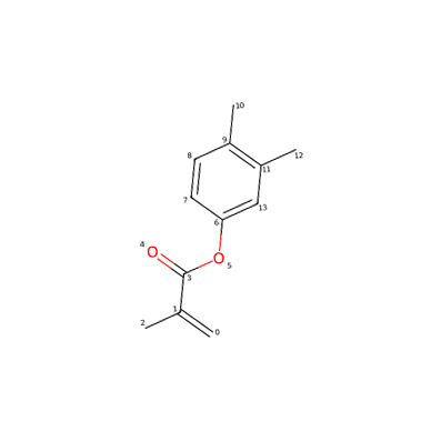 C=C(C)C(=O)Oc1ccc(C)c(C)c1